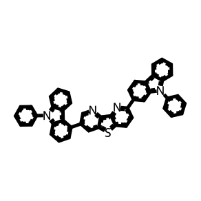 c1ccc(-n2c3ccccc3c3ccc(-c4ccc5sc6cc(-c7cccc8c7c7ccccc7n8-c7ccccc7)cnc6c5n4)cc32)cc1